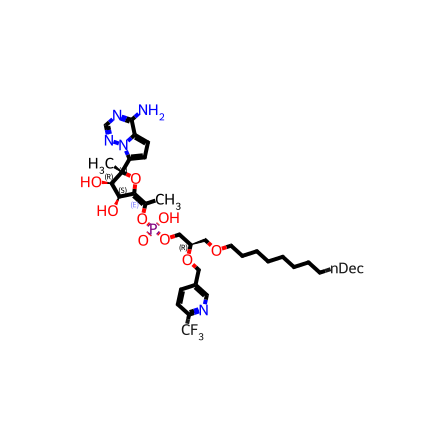 CCCCCCCCCCCCCCCCCCOC[C@H](COP(=O)(O)O/C(C)=C1/O[C@@](C)(c2ccc3c(N)ncnn23)[C@H](O)[C@@H]1O)OCc1ccc(C(F)(F)F)nc1